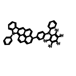 [2H]c1c([2H])c([2H])c(N(c2ccccc2)c2ccc(-c3ccc4ccc5c6c(ccc3c46)cc3c4ccccc4n(-c4ccccc4)c35)cc2)c([2H])c1[2H]